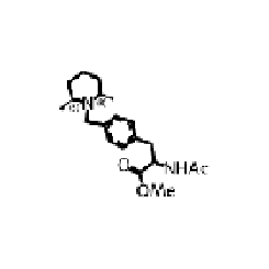 COC(=O)C(Cc1ccc(CN2[C@H](C)CCC[C@@H]2C)cc1)NC(C)=O